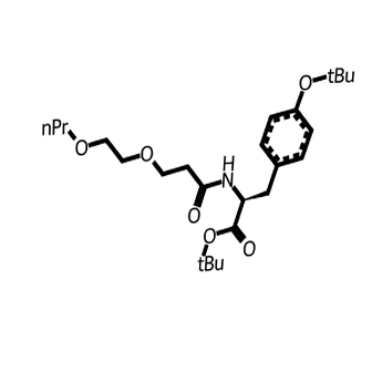 CCCOCCOCCC(=O)N[C@@H](Cc1ccc(OC(C)(C)C)cc1)C(=O)OC(C)(C)C